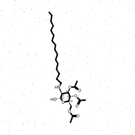 CCCCCCCCCCCCCCCCN[C@H]1[C@@H](OC(C)=O)[C@H](OC(C)=O)[C@@H](COC(C)=O)O[C@@H]1O